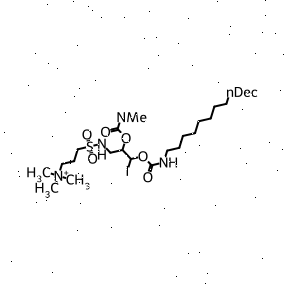 CCCCCCCCCCCCCCCCCCNC(=O)OC(I)C(CNS(=O)(=O)CCC[N+](C)(C)C)OC(=O)NC